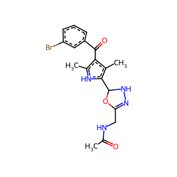 CC(=O)NCC1=NNC(c2[nH]c(C)c(C(=O)c3cccc(Br)c3)c2C)O1